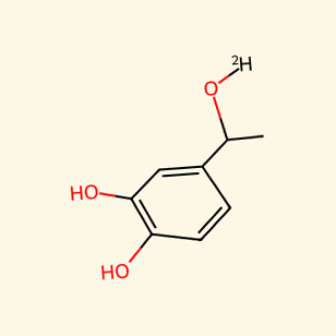 [2H]OC(C)c1ccc(O)c(O)c1